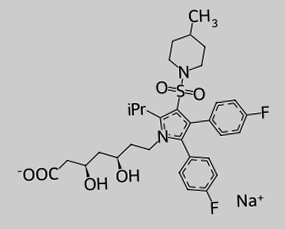 CC1CCN(S(=O)(=O)c2c(-c3ccc(F)cc3)c(-c3ccc(F)cc3)n(CC[C@@H](O)C[C@@H](O)CC(=O)[O-])c2C(C)C)CC1.[Na+]